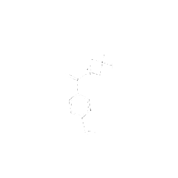 CC(C)(C)c1ccc(C(=O)N2CC(F)(F)C2)cc1